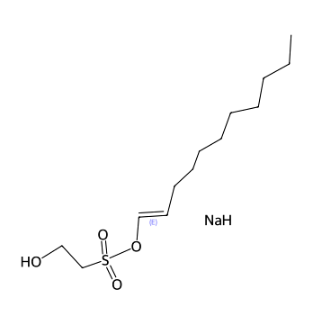 CCCCCCCCC/C=C/OS(=O)(=O)CCO.[NaH]